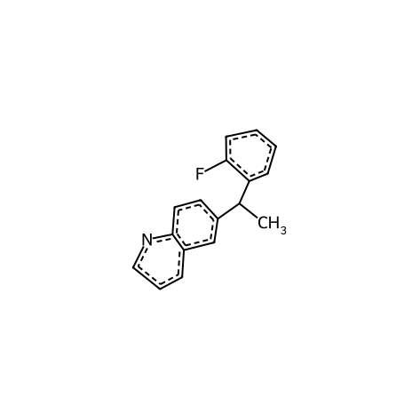 CC(c1ccc2ncccc2c1)c1ccccc1F